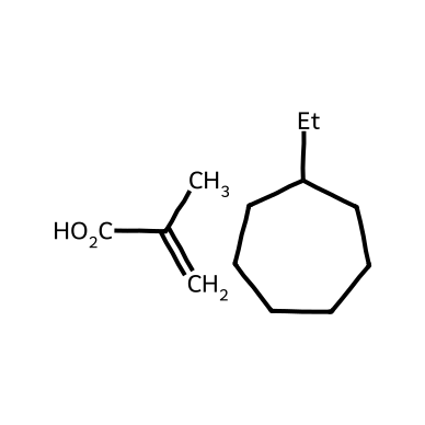 C=C(C)C(=O)O.CCC1CCCCCC1